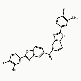 Nc1cc(-c2nc3cc(C(=O)c4ccc5oc(-c6ccc(F)c(N)c6)nc5c4)ccc3o2)ccc1F